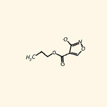 CCCOC(=O)c1conc1[O]